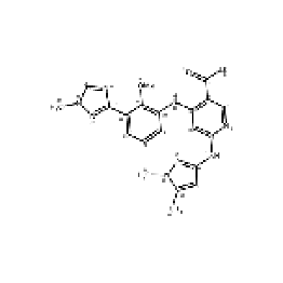 CCC(=O)c1cnc(Nc2cc(C)n(C)n2)cc1Nc1cccc(-c2ncn(C)n2)c1OC